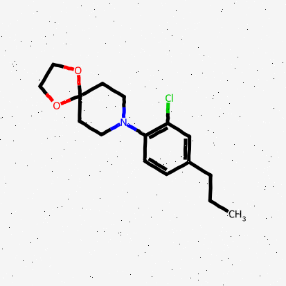 CCCc1ccc(N2CCC3(CC2)OCCO3)c(Cl)c1